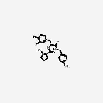 CC(C)N1CCC[C@@H]1C(=O)N[C@@H](Cc1ccc(F)c(F)c1)C(=O)NCc1ccc(N)nc1